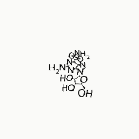 Nc1nc(S(N)(=O)=O)c2ncn([C@@H]3O[C@@H](CO)[C@H](O)[C@@H]3O)c2n1